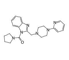 O=C(N1CCCC1)n1c(CN2CCN(c3ccccn3)CC2)nc2ccccc21